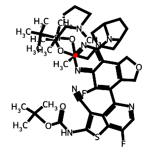 C[C@H](CN1CC2CCC(C1)N2c1nc(O[C@@H](C)[C@@H]2CCCN2C)nc2c(F)c(-c3ncc(F)c4sc(NC(=O)OC(C)(C)C)c(C#N)c34)c3c(c12)COC3)O[Si](C)(C)C(C)(C)C